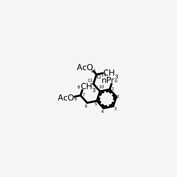 CCCc1cccc(CC(C)OC(C)=O)c1CC(C)OC(C)=O